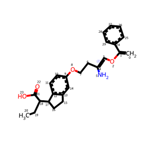 C=C(O/C=C(\N)CCOc1ccc2c(c1)CCC2C(CC)C(=O)O)c1ccccc1